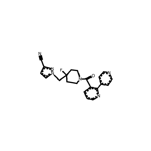 N#Cc1ccn(CC2(F)CCN(C(=O)c3cccnc3-c3ccncc3)CC2)n1